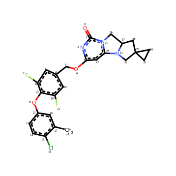 O=c1nc(OCc2cc(F)c(Oc3ccc(Cl)c(C(F)(F)F)c3)c(F)c2)cc2n1CC1CC3(CC3)CN21